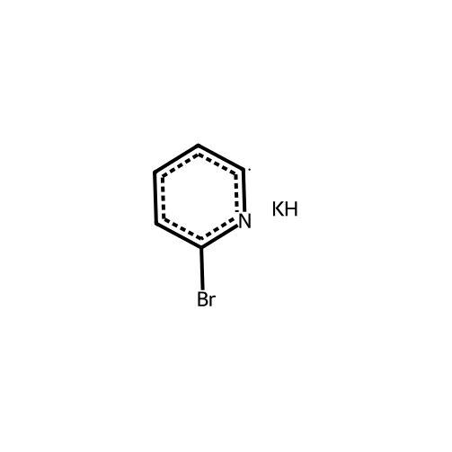 Brc1ccc[c]n1.[KH]